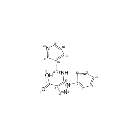 O=C(O)c1cnn(-c2ccccc2)c1NCc1cccnc1